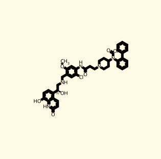 COc1cc(NC(=O)CCN2CCC(N(C(=O)O)c3ccccc3-c3ccccc3)CC2)c(Cl)cc1CNC[C@@H](O)c1ccc(O)c2[nH]c(=O)ccc12